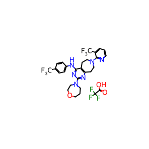 FC(F)(F)c1ccc(Nc2nc(N3CCCOCC3)nc3c2CCN(c2ncccc2C(F)(F)F)CC3)cc1.O=C(O)C(F)(F)F